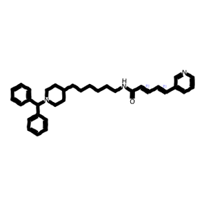 O=C(/C=C/C=C/c1cccnc1)NCCCCCCC1CCN(C(c2ccccc2)c2ccccc2)CC1